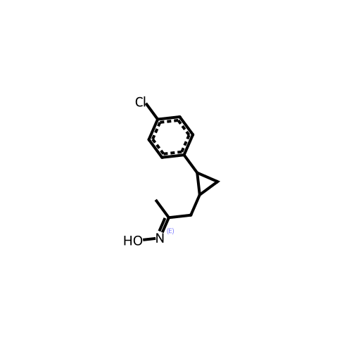 C/C(CC1CC1c1ccc(Cl)cc1)=N\O